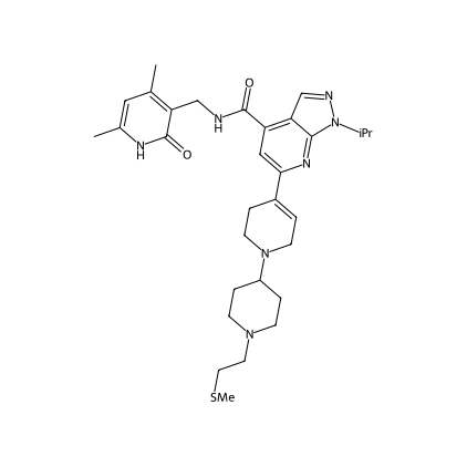 CSCCN1CCC(N2CC=C(c3cc(C(=O)NCc4c(C)cc(C)[nH]c4=O)c4cnn(C(C)C)c4n3)CC2)CC1